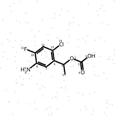 CC(OC(=O)O)c1cc(N)c(F)cc1Cl